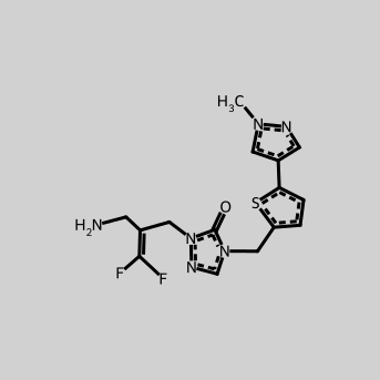 Cn1cc(-c2ccc(Cn3cnn(CC(CN)=C(F)F)c3=O)s2)cn1